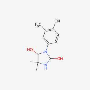 CC1(C)NC(O)N(c2ccc(C#N)c(C(F)(F)F)c2)C1O